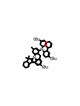 CC1=CC=C(C(C)(C)C)CC1N(C1=CC(C)CC2=C1Cc1cc(C(C)(C)C)cc3c4c(n2c13)C(C)(C)C1CCCC=C41)C1CCC(C(C)(C)C)=CC1C1C=CCCC1